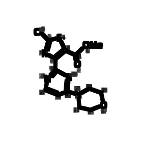 COC(=O)c1sc(Cl)nc1-c1nccc(N2CCOCC2)n1